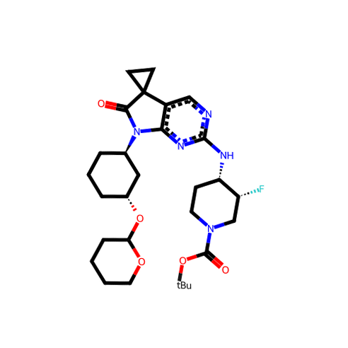 CC(C)(C)OC(=O)N1CC[C@H](Nc2ncc3c(n2)N([C@@H]2CCC[C@@H](OC4CCCCO4)C2)C(=O)C32CC2)[C@H](F)C1